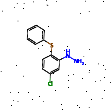 NNc1cc(Cl)ccc1Sc1ccccc1